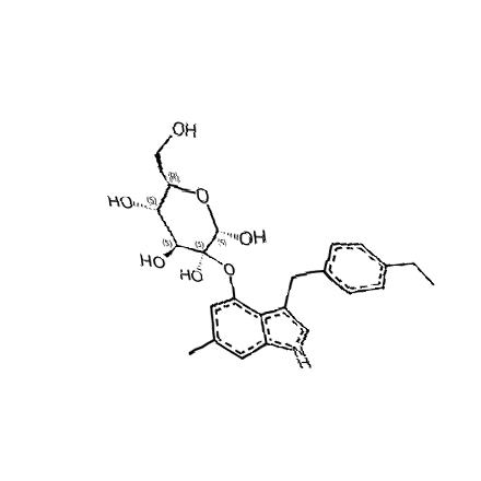 CCc1ccc(Cc2c[nH]c3cc(C)cc(O[C@]4(O)[C@@H](O)O[C@H](CO)[C@@H](O)[C@@H]4O)c23)cc1